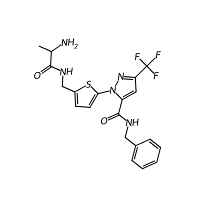 CC(N)C(=O)NCc1ccc(-n2nc(C(F)(F)F)cc2C(=O)NCc2ccccc2)s1